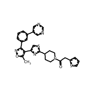 Cc1onc(-c2cccc(-c3cncnc3)c2)c1-c1csc(C2CCN(C(=O)Cc3cccs3)CC2)n1